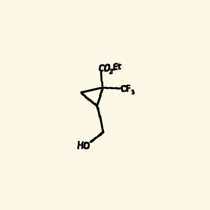 CCOC(=O)C1(C(F)(F)F)CC1CO